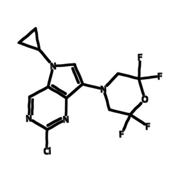 FC1(F)CN(c2cn(C3CC3)c3cnc(Cl)nc23)CC(F)(F)O1